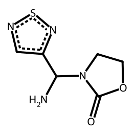 NC(c1cnsn1)N1CCOC1=O